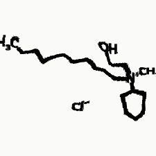 CCCCCCCCCC[N+](C)(CCO)C1CCCCC1.[Cl-]